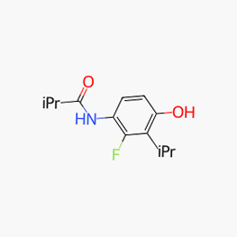 CC(C)C(=O)Nc1ccc(O)c(C(C)C)c1F